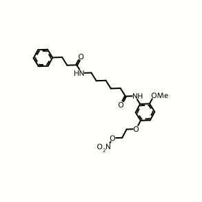 COc1ccc(OCCO[N+](=O)[O-])cc1NC(=O)CCCCCNC(=O)CCc1ccccc1